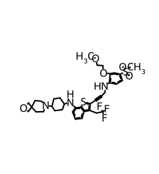 COCCOc1cc(S(C)(=O)=O)ccc1NCC#Cc1sc2c(NC3CCC(N4CCC5(CC4)COC5)CC3)cccc2c1CC(F)(F)F